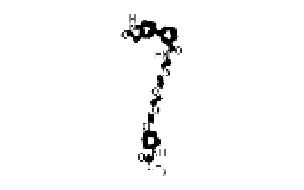 CC(=O)Nc1ccc(OCCOCCOCCOCCNC(=O)c2cccc(-c3ccc4c(c3)CC(=O)N4)c2)cc1